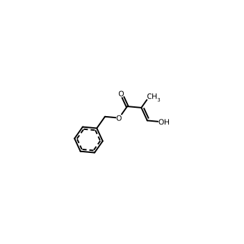 CC(=CO)C(=O)OCc1ccccc1